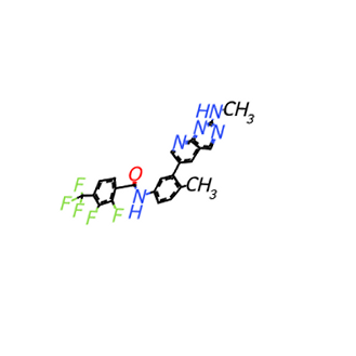 CNc1ncc2cc(-c3cc(NC(=O)c4ccc(C(F)(F)F)c(F)c4F)ccc3C)cnc2n1